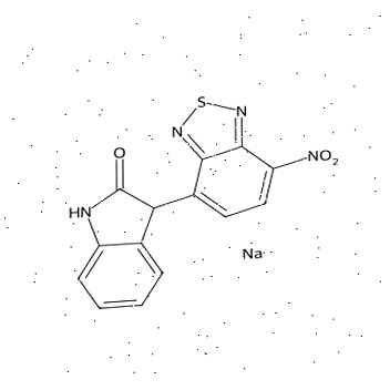 O=C1Nc2ccccc2C1c1ccc([N+](=O)[O-])c2nsnc12.[Na]